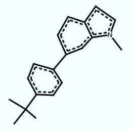 Cn1ccc2ccc(-c3ccc(C(C)(C)C)cc3)cc21